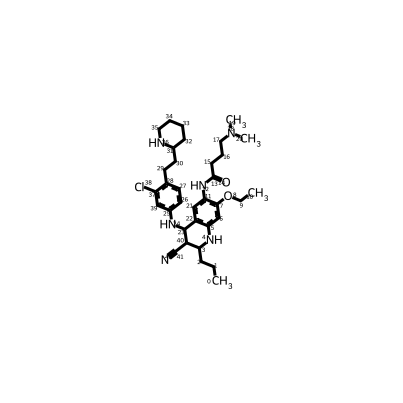 CCCC1Nc2cc(OCC)c(NC(=O)CCCN(C)C)cc2C(Nc2ccc(CCC3CCCCN3)c(Cl)c2)C1C#N